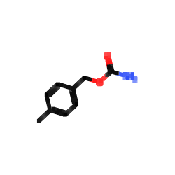 Cc1ccc(COC(N)=O)cc1